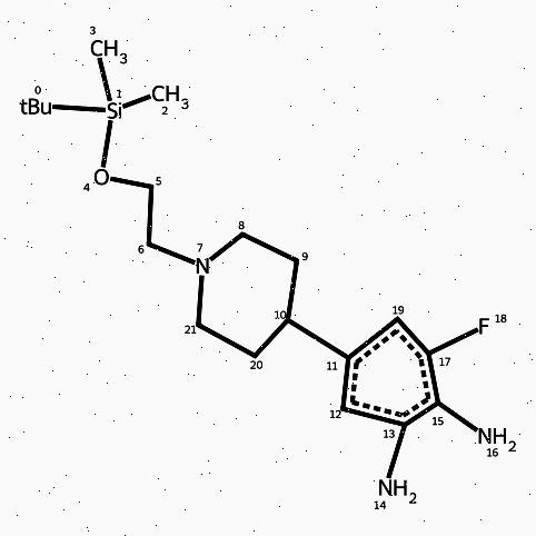 CC(C)(C)[Si](C)(C)OCCN1CCC(c2cc(N)c(N)c(F)c2)CC1